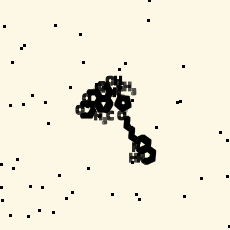 Cc1cc([C@H](C(=O)O)N(C)[C@H]2CC[C@H](OCCCCc3ccc4c(n3)NCCC4)C2)c2c(c1)[C@@]1(CCCOC1)OC[C@H]2C